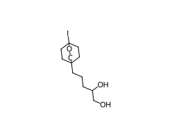 OCC(O)CCCC12CCC(I)(CC1)OC2